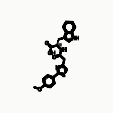 COc1ccc(-c2nc(CC(=O)N[C@@H](Cc3c[nH]c4ccccc34)C(=O)O)cs2)cc1